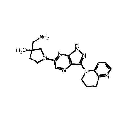 CC1(CN)CCN(c2cnc3c(N4CCCc5ncccc54)n[nH]c3n2)C1